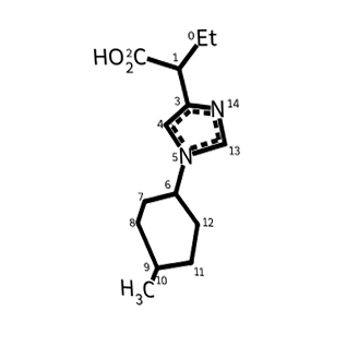 CCC(C(=O)O)c1cn(C2CCC(C)CC2)cn1